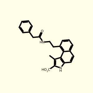 Cc1c(C(=O)O)[nH]c2ccc3cccc(CCNC(=O)Cc4ccccc4)c3c12